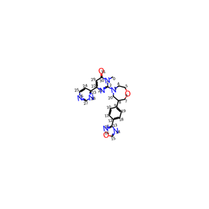 Cn1c(N2CCOCC(c3ccc(-c4ncon4)cc3)C2)nc(-c2ccncn2)cc1=O